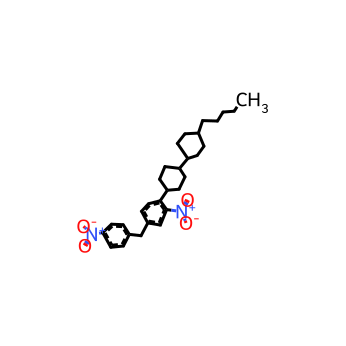 CCCCCC1CCC(C2CCC(c3ccc(Cc4ccc([N+](=O)[O-])cc4)cc3[N+](=O)[O-])CC2)CC1